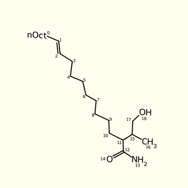 CCCCCCCCC=CCCCCCCCCC(C(N)=O)C(C)CO